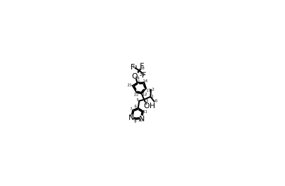 CC(C)C(O)(Cc1cncnc1)c1ccc(OC(F)(F)F)cc1